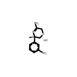 C[C@]1(c2cccc(N)c2)COCC(N)=N1.Cl